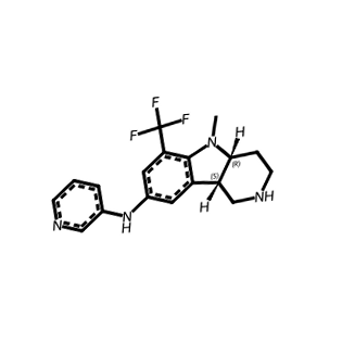 CN1c2c(cc(Nc3cccnc3)cc2C(F)(F)F)[C@H]2CNCC[C@H]21